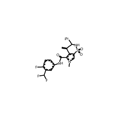 C=C1c2c(cn(C)c2C(=O)Nc2ccc(F)c(C(F)F)c2)S(=O)(=O)NC1C(C)C